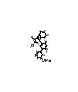 COc1cncc(-c2cc3c(cc2F)Oc2ccccc2C32N=C(N)N(C)C2=O)c1